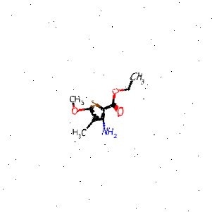 CCOC(=O)c1sc(OC)c(C)c1N